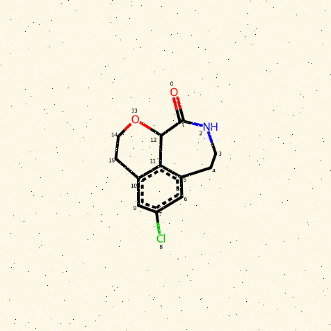 O=C1NCCc2cc(Cl)cc3c2C1OCC3